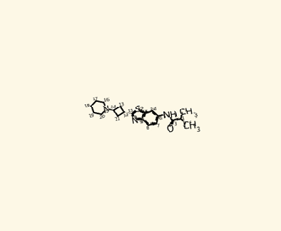 CC(C)C(=O)Nc1ccc2nc([C@H]3C[C@H](N4CCCCC4)C3)sc2c1